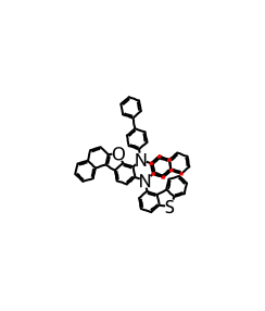 c1ccc(-c2ccc(N(c3ccc4ccccc4c3)c3c(N(c4ccccc4)c4cccc5sc6ccccc6c45)ccc4c3oc3ccc5ccccc5c34)cc2)cc1